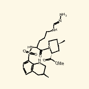 COC(=O)[C@H]1C[C@H](C)CCN1C(=O)C(CCCNC=NN)NS(=O)(=O)c1cccc2c1NCC(C)C2